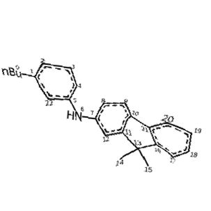 CCCCc1cccc(Nc2ccc3c(c2)C(C)(C)c2ccccc2-3)c1